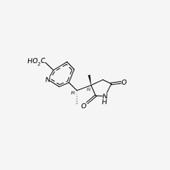 C[C@H](c1ccc(C(=O)O)nc1)[C@]1(C)CC(=O)NC1=O